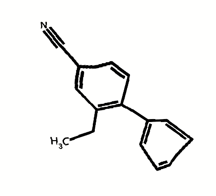 CCc1cc(C#N)ccc1-c1ccccc1